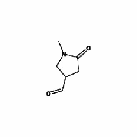 CN1CC(C=O)CC1=O